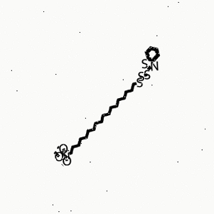 CO[Si](CCCCCCCCCCCCCCCCCCSSSc1nc2ccccc2s1)(OC)OC